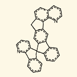 c1ccc2c(c1)-c1cc3c(cc1C21c2ccccc2-c2ncccc21)Cc1ccc2cccnc2c1-3